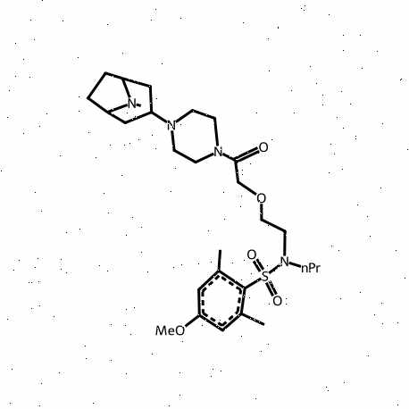 CCCN(CCOCC(=O)N1CCN(C2CC3CCC(C2)N3C)CC1)S(=O)(=O)c1c(C)cc(OC)cc1C